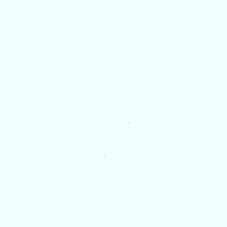 CCN1CCN(CC(=O)O)CCN(C(CCc2ccc(SC#N)cc2)C(=O)O)CCN(CC(=O)O)CC1